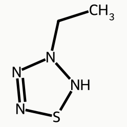 CCN1N=NSN1